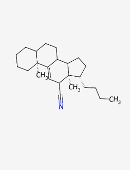 CCCC[C@H]1CCC2C3CCC4CCCC[C@]4(C)C3=CC(C#N)[C@@]21C